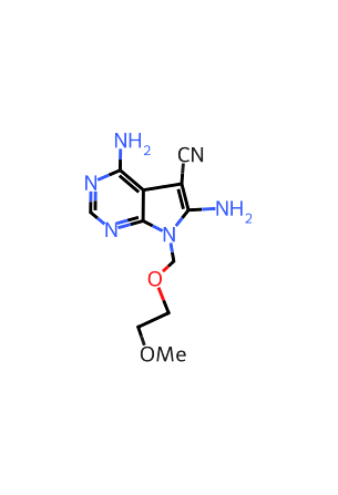 COCCOCn1c(N)c(C#N)c2c(N)ncnc21